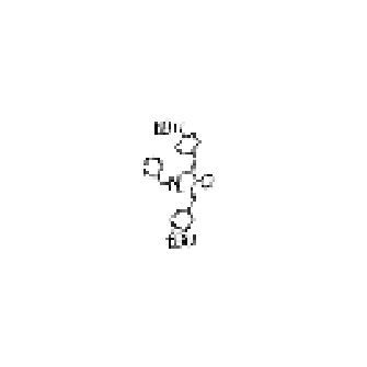 CC(C)(C)c1ccc(/C=C2\CN(Cc3ccccc3)C/C(=C\c3ccc(C(C)(C)C)cc3)C2=O)cc1